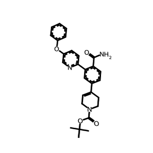 CC(C)(C)OC(=O)N1CC=C(c2ccc(C(N)=O)c(-c3ccc(Oc4ccccc4)cn3)c2)CC1